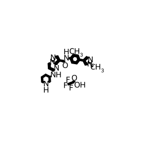 Cc1cc(-c2cnn(C)c2)ccc1NC(=O)c1cnn2ccc(N[C@@H]3CCCNC3)nc12.O=C(O)C(F)(F)F